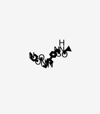 CN1CCC(OC(=O)N2CCc3ncc(-c4ccc5nc(NC(=O)C6CC6)sc5c4)cc32)CC1